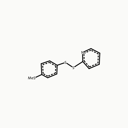 CSc1ccc(SSc2ccccn2)cc1